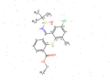 CCOC(=O)c1ccccc1Sc1c(C)cc(Cl)cc1/C=N\[S+]([O-])C(C)(C)C